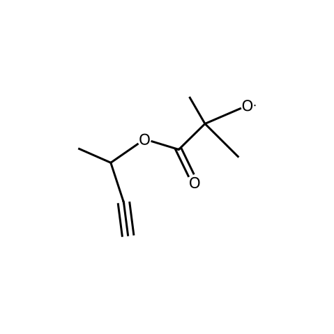 C#CC(C)OC(=O)C(C)(C)[O]